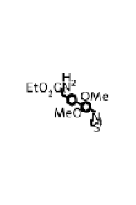 CCOC(=O)[C@@H](N)Cc1ccc(-c2c(OC)cc(CN3CCSCC3)cc2OC)cc1